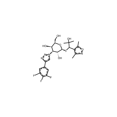 Cc1noc(C)c1C(S[C@@H]1O[C@H](CO)[C@H](O)[C@H](n2cc(-c3cc(F)c(F)c(F)c3)nn2)[C@H]1O)C(C)(C)O